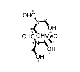 COC.O=CN(CO)CO.O=CN(CO)CO